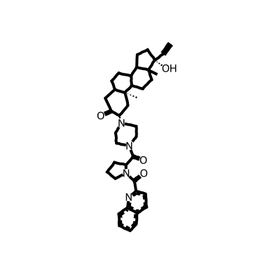 C#C[C@]1(O)CCC2C3CCC4CC(=O)[C@@H](N5CCN(C(=O)C6CCCN6C(=O)c6ccc7ccccc7n6)CC5)C[C@]4(C)C3CCC21C